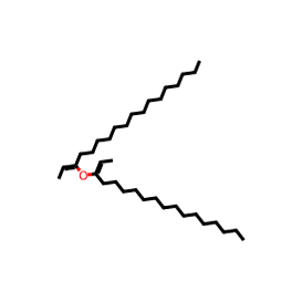 CC=C(CCCCCCCCCCCCCCC)OC(=CC)CCCCCCCCCCCCCCC